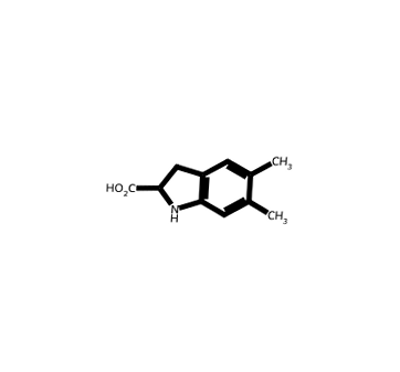 Cc1cc2c(cc1C)NC(C(=O)O)C2